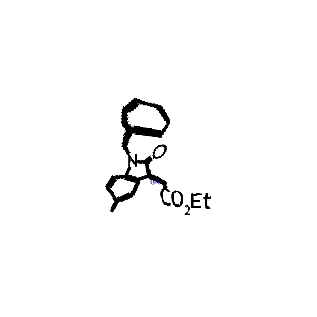 CCOC(=O)/C=C1/C(=O)N(Cc2ccccc2)c2ccc(C)cc21